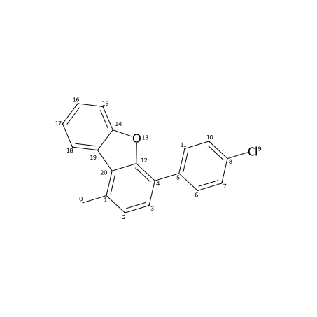 Cc1ccc(-c2ccc(Cl)cc2)c2oc3ccccc3c12